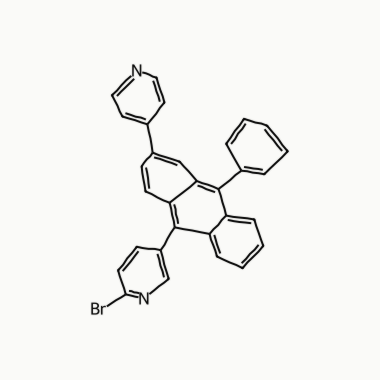 Brc1ccc(-c2c3ccccc3c(-c3ccccc3)c3cc(-c4ccncc4)ccc23)cn1